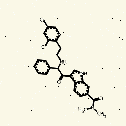 CN(C)C(=O)c1ccc2c(C(=O)[C@H](NCCc3ccc(Cl)cc3Cl)c3ccccc3)c[nH]c2c1